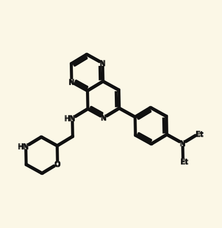 CCN(CC)c1ccc(-c2cc3nccnc3c(NCC3CNCCO3)n2)cc1